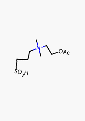 CC(=O)OCC[N+](C)(C)CCCS(=O)(=O)O